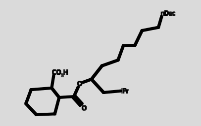 CCCCCCCCCCCCCCCCC(CC(C)C)OC(=O)C1CCCCC1C(=O)O